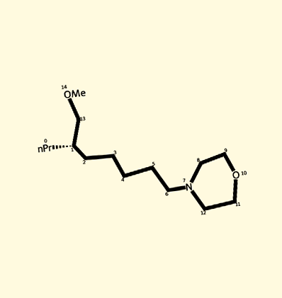 CCC[C@@H](CCCCCN1CCOCC1)COC